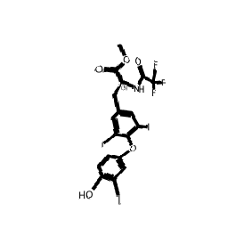 COC(=O)[C@H](Cc1cc(I)c(Oc2ccc(O)c(I)c2)c(I)c1)NC(=O)C(F)(F)F